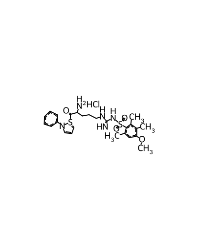 COc1cc(C)c(S(=O)(=O)NC(=N)NCCCC(N)C(=O)S2=CC=CN2c2ccccc2)c(C)c1C.Cl